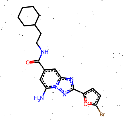 Nc1cc(C(=O)NCCC2CCCCC2)cc2nc(-c3ccc(Br)o3)nn12